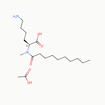 CC(=O)O.CCCCCCCCCC(=O)N(C)[C@@H](CCCCN)C(=O)O